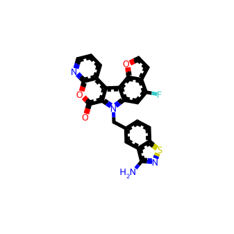 Nc1nsc2ccc(Cn3c4cc(F)c5ccoc5c4c4c5cccnc5oc(=O)c43)cc12